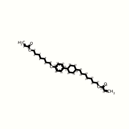 C=CC(=O)OCCCCCCCOc1ccc(C2CCC(CCCCCCCOC(=O)C=C)CC2)cc1